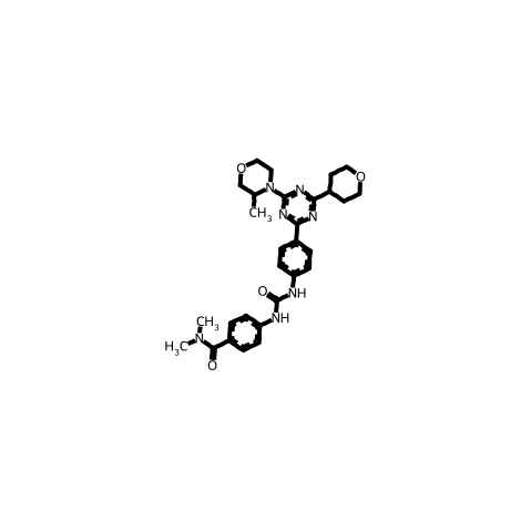 CC1COCCN1c1nc(-c2ccc(NC(=O)Nc3ccc(C(=O)N(C)C)cc3)cc2)nc(C2CCOCC2)n1